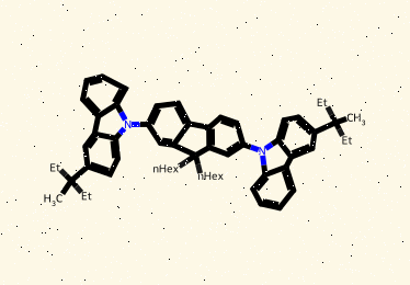 CCCCCCC1(CCCCCC)c2cc(-n3c4ccccc4c4cc(C(C)(CC)CC)ccc43)ccc2-c2ccc(-n3c4ccccc4c4cc(C(C)(CC)CC)ccc43)cc21